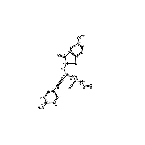 COc1ccc2c(c1)C(=O)N(C[C@@H](C#Cc1cnc(N)nc1)NC(=O)NC=O)C2